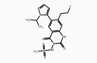 CC(C)n1nccc1-c1cc2c(=O)n(NS(C)(=O)=O)c(=O)[nH]c2cc1CCF